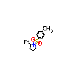 CCC1CCCN1S(=O)(=O)c1ccc(C)cc1